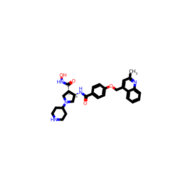 Cc1cc(COc2ccc(C(=O)N[C@@H]3CN(C4CCNCC4)C[C@@H]3C(=O)NO)cc2)c2ccccc2n1